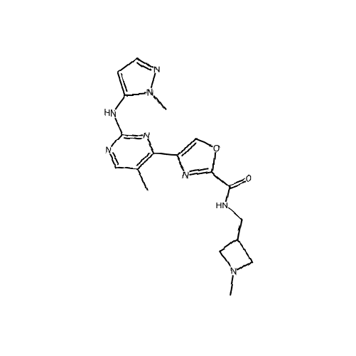 Cc1cnc(Nc2ccnn2C)nc1-c1coc(C(=O)NCC2CN(C)C2)n1